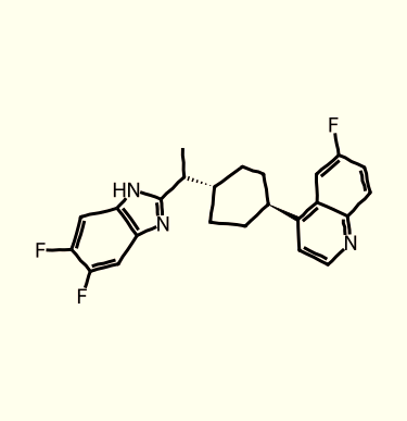 CC(c1nc2cc(F)c(F)cc2[nH]1)[C@H]1CC[C@H](c2ccnc3ccc(F)cc32)CC1